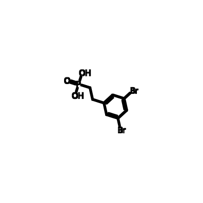 O=P(O)(O)CCc1cc(Br)cc(Br)c1